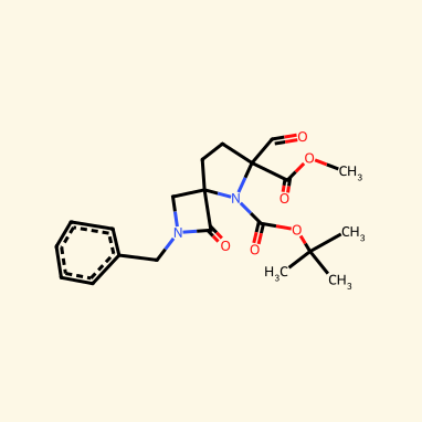 COC(=O)C1(C=O)CCC2(CN(Cc3ccccc3)C2=O)N1C(=O)OC(C)(C)C